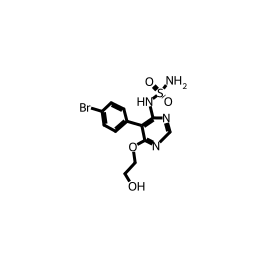 NS(=O)(=O)Nc1ncnc(OCCO)c1-c1ccc(Br)cc1